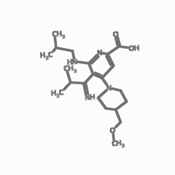 COCC1CCN(c2cc(C(=O)O)nc(NCC(C)C)c2C(=N)C(C)C)CC1